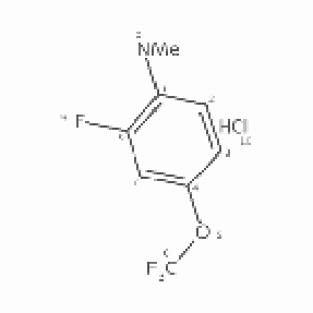 CNc1ccc(OC(F)(F)F)cc1F.Cl